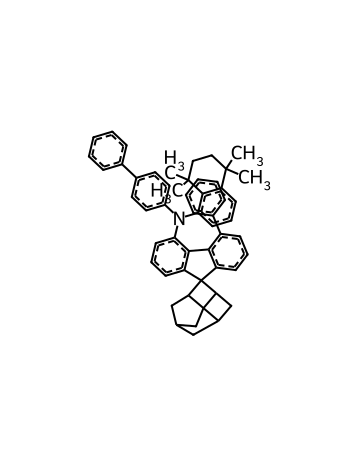 CC1(C)CCC(C)(C)c2c(N(c3ccc(-c4ccccc4)cc3)c3cccc4c3-c3c(-c5ccccc5)cccc3C43C4CC5CC6CC3C64C5)cccc21